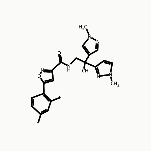 Cn1cc(C(C)(CNC(=O)c2cc(-c3ccc(F)cc3F)on2)c2ccn(C)n2)cn1